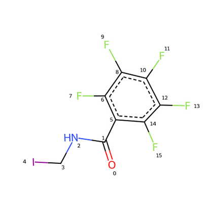 O=C(NCI)c1c(F)c(F)c(F)c(F)c1F